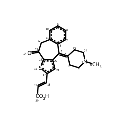 CN1CCC(=C2c3ccccc3CC(=O)c3sc(/C=C/C(=O)O)cc32)CC1